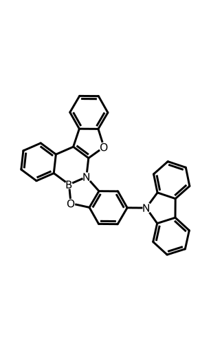 c1ccc2c(c1)B1Oc3ccc(-n4c5ccccc5c5ccccc54)cc3N1c1oc3ccccc3c1-2